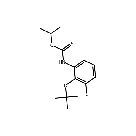 CC(C)OC(=S)Nc1cccc(F)c1OC(C)(C)C